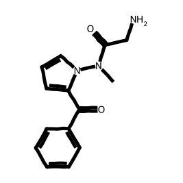 CN(C(=O)CN)n1cccc1C(=O)c1ccccc1